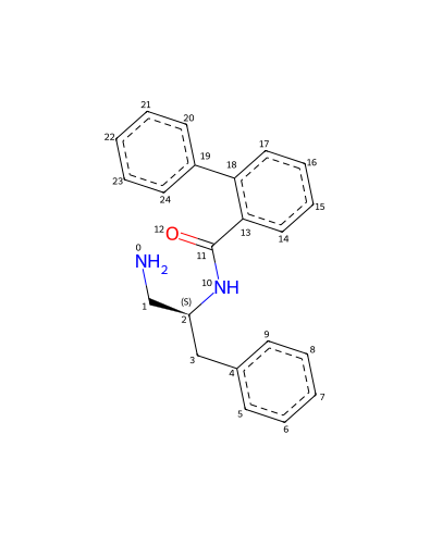 NC[C@H](Cc1ccccc1)NC(=O)c1ccccc1-c1ccccc1